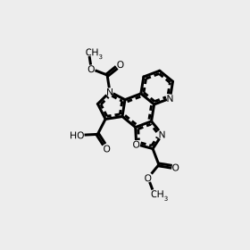 COC(=O)c1nc2c3ncccc3c3c(c(C(=O)O)cn3C(=O)OC)c2o1